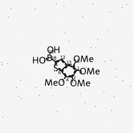 COc1c(OC)c(OC)c2sc(B(O)O)cc2c1OC